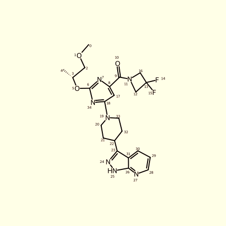 COC[C@@H](C)Oc1nc(C(=O)N2CC(F)(F)C2)cc(N2CCC(c3n[nH]c4ncccc34)CC2)n1